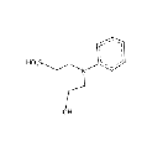 O=S(=O)(O)CCN(CCO)c1ccccc1